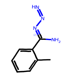 Cc1ccccc1/C(N)=N/N=N